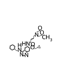 CC1CN(CC=CC(=O)Nc2cc3c(NCc4ccccc4)ncnc3cc2OCC2CC2)CC(=O)O1